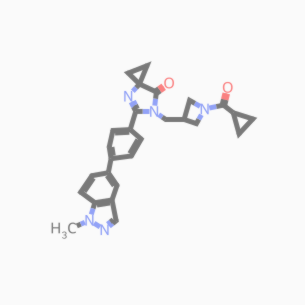 Cn1ncc2cc(-c3ccc(C4=NC5(CC5)C(=O)N4CC4CN(C(=O)C5CC5)C4)cc3)ccc21